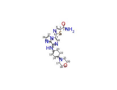 NC(=O)c1cnc(-c2cnc(NC3=CC=C(N4CCOCC4)CC3)c3nccn23)s1